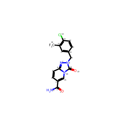 NC(=O)c1ccc2nn(Cc3ccc(Cl)c(C(F)(F)F)c3)c(=O)n2c1